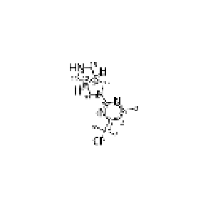 Cc1cc(C(C)(C)Cl)nc(N2C[C@H]3CNC[C@H]3C2)n1